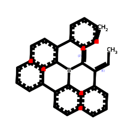 C=C/C=C(B(c1ccccc1-c1ccccc1)c1ccccc1-c1ccccc1)\C(=C/C)c1ccccc1